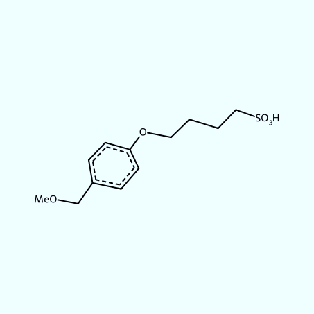 COCc1ccc(OCCCCS(=O)(=O)O)cc1